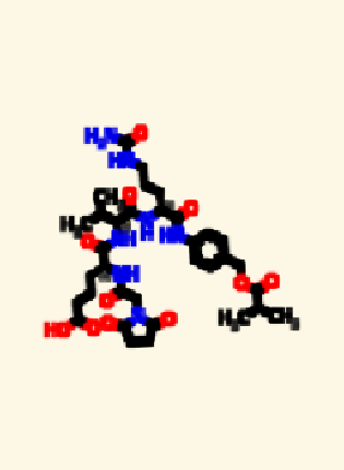 CC(C)C(=O)OCc1ccc(NC(=O)[C@H](CCCNC(N)=O)NC(=O)[C@@H](NC(=O)[C@H](CCCC(=O)O)NC(=O)CN2C(=O)C=CC2=O)C(C)C)cc1